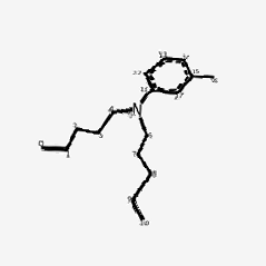 CCCCCN(CCCCC)c1cccc(C)c1